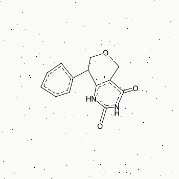 O=c1[nH]c2c(c(=O)[nH]1)COCC2c1ccccc1